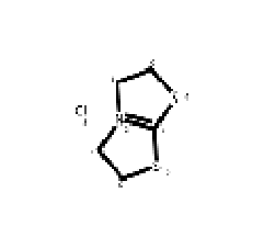 C1C[N+]2=C(S1)SCC2.[Cl-]